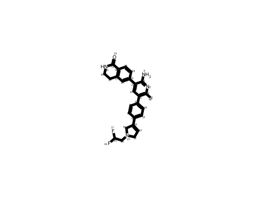 Nc1nc(F)c(-c2ccc(C3=CCN(CC(F)F)C3)cc2)cc1-c1ccc2c(c1)CCNC2=O